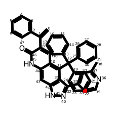 C=C(c1ccccc1)c1cc2c(C(c3ccccc3)(c3ccccc3)c3ccccc3)c3c(-c4ccnc(C)c4)n[nH]c3cc2[nH]c1=O